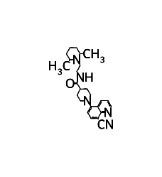 CC1CCCC(C)N1CCNC(=O)C1CCN(c2ccc(C#N)c3ncccc23)CC1